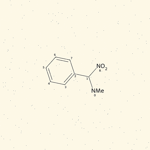 CNC(c1ccccc1)[N+](=O)[O-]